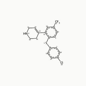 FC(F)(F)c1ccc(Sc2ccc(Cl)cc2)c(C2=CCNCC2)c1